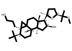 COC(C)(C)[C@@H]1CC[C@](C)([C@H]2[C@@H](O)C[C@@]3(C)[C@@H]4CC[C@@H](C(C)(C)C)[C@@]5(CCCO)CC45CC[C@]23C)O1